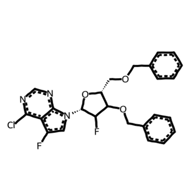 Fc1cn([C@@H]2O[C@H](COCc3ccccc3)C(OCc3ccccc3)C2F)c2ncnc(Cl)c12